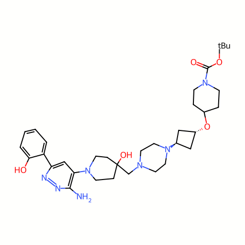 CC(C)(C)OC(=O)N1CCC(O[C@H]2C[C@H](N3CCN(CC4(O)CCN(c5cc(-c6ccccc6O)nnc5N)CC4)CC3)C2)CC1